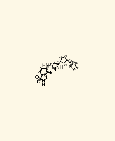 O=S1(=O)NCc2c1ccc(Nc1cc([C@H]3CC[C@@H](Oc4ccsn4)C3)[nH]n1)c2F